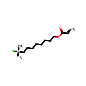 C=CC(=O)OCCCCCCCC[Si](C)(C)Cl